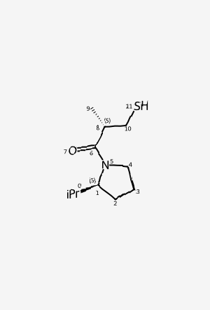 CC(C)[C@@H]1CCCN1C(=O)[C@H](C)CS